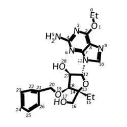 CCOc1nc(N)nc2c1ncn2[C@@H]1O[C@](CC)(CO)[C@@H](OCc2ccccc2)[C@H]1O